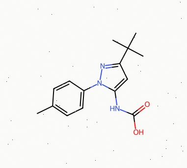 Cc1ccc(-n2nc(C(C)(C)C)cc2NC(=O)O)cc1